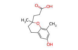 Cc1cc(O)cc2c1OC(C)(CCC(=O)O)CC2